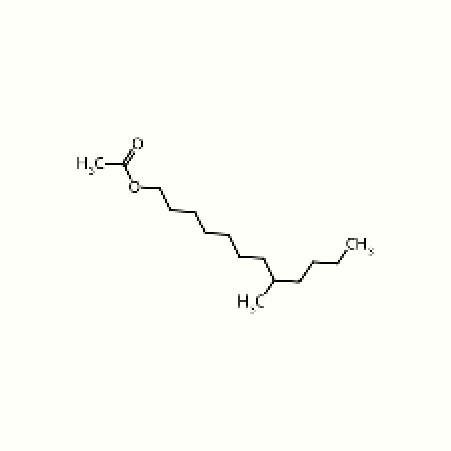 CCCCC(C)CCCCCCCOC(C)=O